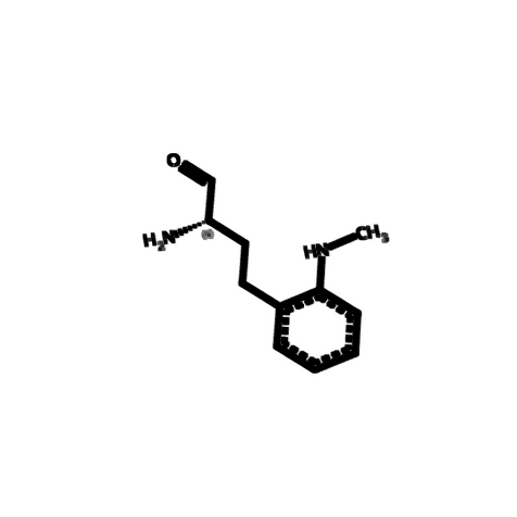 CNc1ccccc1CC[C@H](N)C=O